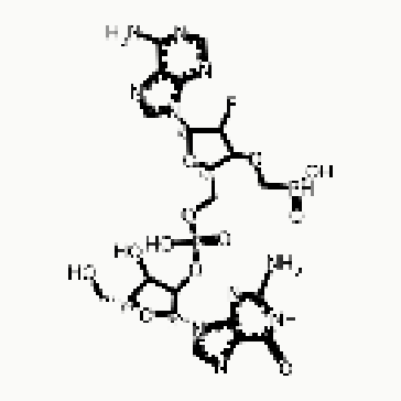 Nc1nc2c(ncn2[C@@H]2O[C@H](CO)C(O)C2OP(=O)(O)OC[C@H]2O[C@@H](n3cnc4c(N)ncnc43)C(F)C2OC[PH](=O)O)c(=O)[nH]1